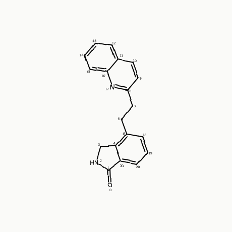 O=C1NCc2c(CCc3ccc4ccccc4n3)cccc21